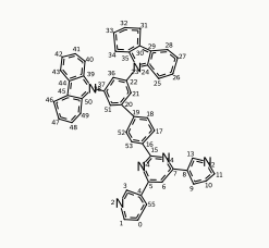 c1cncc(-c2cc(-c3cccnc3)nc(-c3ccc(-c4cc(-n5c6ccccc6c6ccccc65)cc(-n5c6ccccc6c6ccccc65)c4)cc3)n2)c1